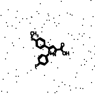 CSc1ccc(-c2cc(C(=O)O)nn2-c2ccc(F)cc2)cc1